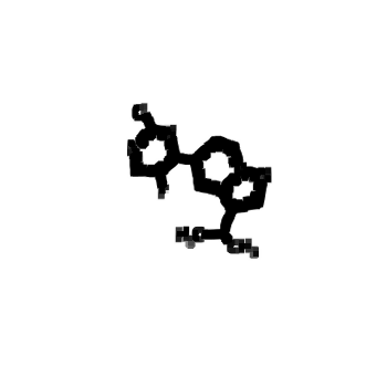 CC(C)c1cnn2ccc(-c3nc(Cl)ncc3F)cc12